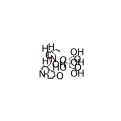 C=C[C@H]1C[N@]2CC[C@H]1C[C@H]2[C@H](O)c1ccnc2ccc(OC)cc12.O=C(O)CC(O)(CC(=O)O)C(=O)O